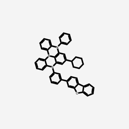 c1ccc(N2c3ccccc3B3c4ccccc4N(c4cccc(-c5ccc6c(c5)oc5ccccc56)c4)c4cc(C5CCCCC5)cc2c43)cc1